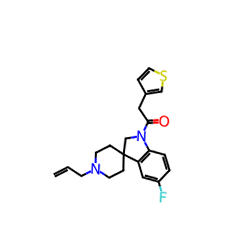 C=CCN1CCC2(CC1)CN(C(=O)Cc1ccsc1)c1ccc(F)cc12